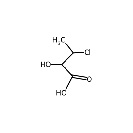 CC(Cl)C(O)C(=O)O